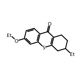 CCOc1ccc2c(=O)c3c(sc2c1)CC(CC)CC3